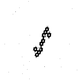 c1ccc(-c2c3ccccc3cc3ccc(-c4ccc5cc(-c6ccc7cc8ccccc8c(-c8ccccc8)c7n6)ccc5c4)nc23)cc1